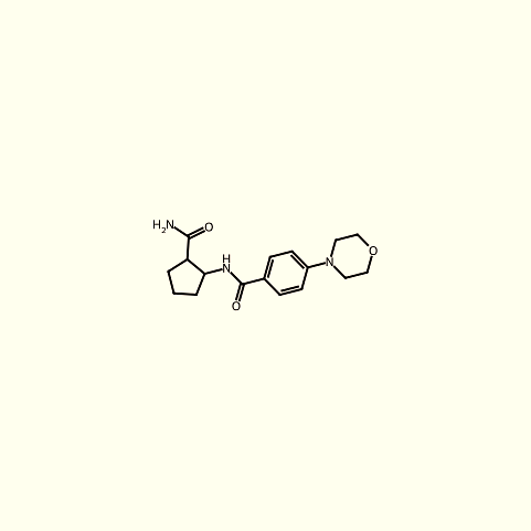 NC(=O)C1CCCC1NC(=O)c1ccc(N2CCOCC2)cc1